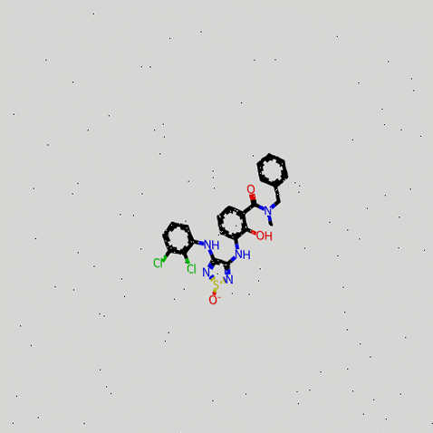 CN(Cc1ccccc1)C(=O)c1cccc(Nc2n[s+]([O-])nc2Nc2cccc(Cl)c2Cl)c1O